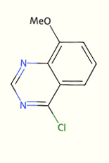 COc1cccc2c(Cl)ncnc12